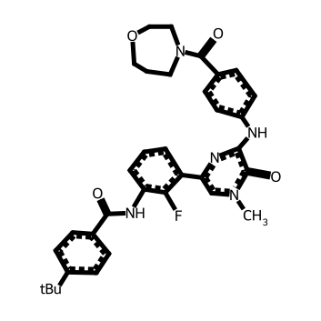 Cn1cc(-c2cccc(NC(=O)c3ccc(C(C)(C)C)cc3)c2F)nc(Nc2ccc(C(=O)N3CCCOCC3)cc2)c1=O